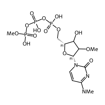 CNc1ccn([C@@H]2O[C@H](COP(=O)(O)OP(=O)(O)OP(=O)(O)OC)C(O)C2OC)c(=O)n1